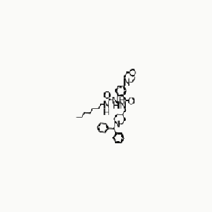 CCCCCCCNC(=O)Nc1ccc(N2CCOCC2)cc1C(=O)NCC1CCN(C(c2ccccc2)c2ccccc2)CC1